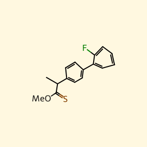 COC(=S)C(C)c1ccc(-c2ccccc2F)cc1